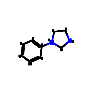 c1ccc(N2CC[N]C2)cc1